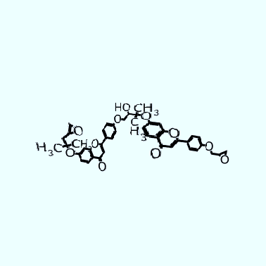 CC(C)(CC1CO1)Oc1ccc2c(=O)cc(-c3ccc(OCC(O)C(C)(C)Oc4ccc5c(=O)cc(-c6ccc(OCC7CO7)cc6)oc5c4)cc3)oc2c1